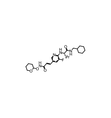 CC(C)[C@@H](Nc1ncc(/C=C/C(=O)NOC2CCCCO2)cc1F)C(=O)NCC1CCCCC1